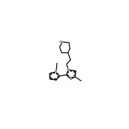 Cc1cn(CCC2CCNCC2)c(-c2cccn2C)n1